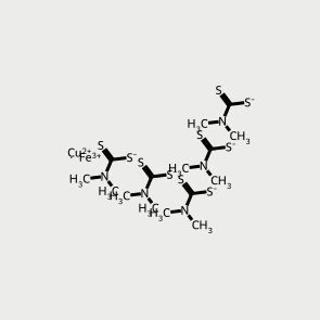 CN(C)C(=S)[S-].CN(C)C(=S)[S-].CN(C)C(=S)[S-].CN(C)C(=S)[S-].CN(C)C(=S)[S-].[Cu+2].[Fe+3]